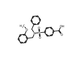 COc1ccccc1CN(Cc1ccccc1)S(=O)(=O)c1ccc(C(=O)O)cc1